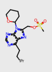 CC(C)CCc1ncnc2c1nc(COS(C)(=O)=O)n2C1CCCCO1